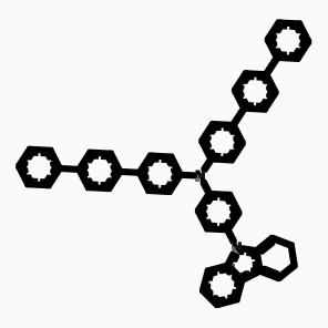 C1=c2c(n(-c3ccc(N(c4ccc(-c5ccc(-c6ccccc6)cc5)cc4)c4ccc(-c5ccc(-c6ccccc6)cc5)cc4)cc3)c3ccccc23)=CCC1